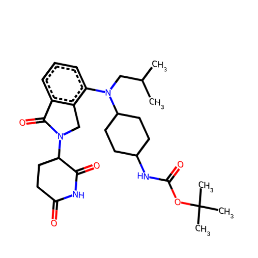 CC(C)CN(c1cccc2c1CN(C1CCC(=O)NC1=O)C2=O)C1CCC(NC(=O)OC(C)(C)C)CC1